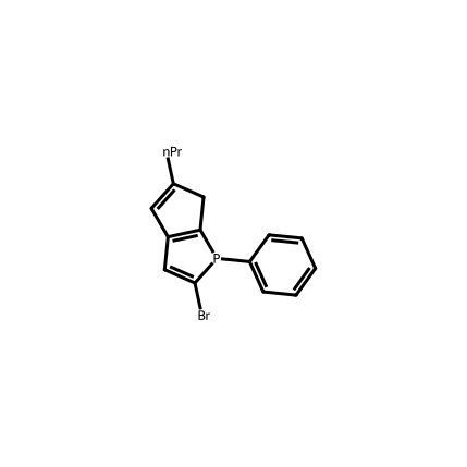 CCCC1=Cc2cc(Br)p(-c3ccccc3)c2C1